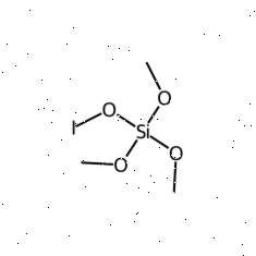 CO[Si](OC)(OC)OI